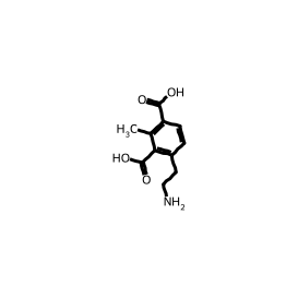 Cc1c(C(=O)O)ccc(CCN)c1C(=O)O